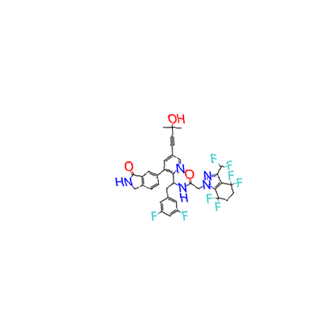 CC(C)(O)C#Cc1cnc(C(Cc2cc(F)cc(F)c2)NC(=O)Cn2nc(C(F)F)c3c2C(F)(F)CCC3(F)F)c(-c2ccc3c(c2)C(=O)NC3)c1